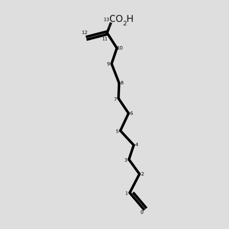 C=CCCCCCCCCCC(=C)C(=O)O